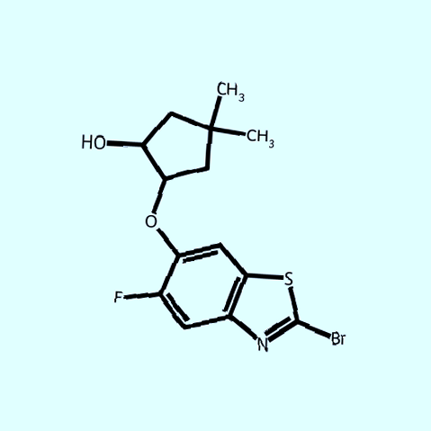 CC1(C)CC(O)C(Oc2cc3sc(Br)nc3cc2F)C1